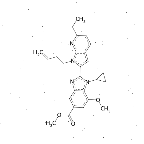 C=CCCn1c(-c2nc3cc(C(=O)OC)cc(OC)c3n2C2CC2)cc2ccc(CC)nc21